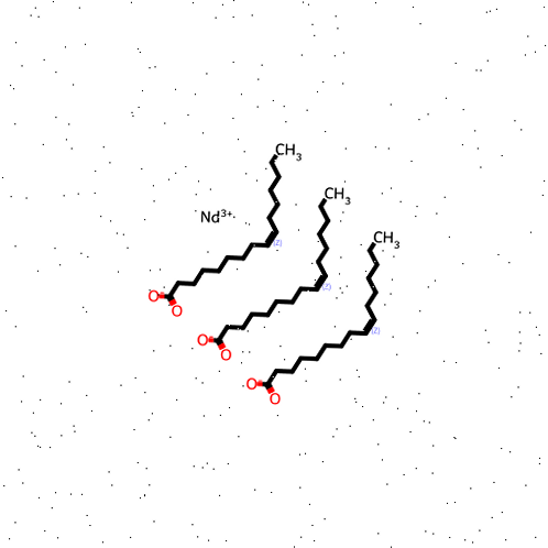 CCCCCC/C=C\CCCCCCCC(=O)[O-].CCCCCC/C=C\CCCCCCCC(=O)[O-].CCCCCC/C=C\CCCCCCCC(=O)[O-].[Nd+3]